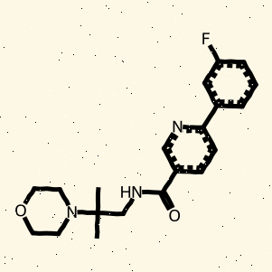 CC(C)(CNC(=O)c1ccc(-c2cccc(F)c2)nc1)N1CCOCC1